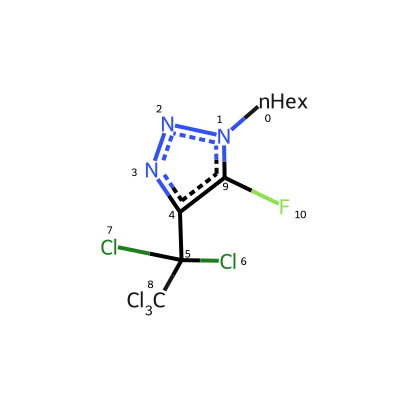 CCCCCCn1nnc(C(Cl)(Cl)C(Cl)(Cl)Cl)c1F